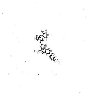 Cc1cc2cc(-c3ncc(C(F)(F)F)cn3)ccc2c(=O)n1CCCC(C)Nc1cn[nH]c(=O)c1C(F)(F)F